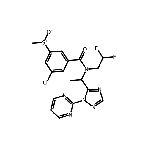 CC(c1ncnn1-c1ncccn1)N(CC(F)F)C(=O)c1cc(Cl)cc([S+](C)[O-])c1